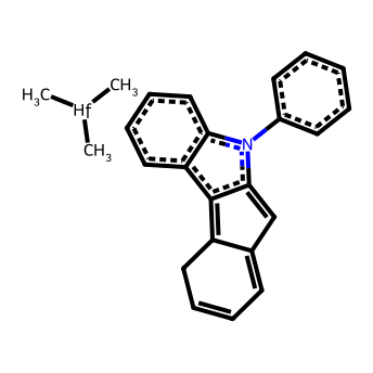 C1=CCC2=c3c(n(-c4ccccc4)c4ccccc34)=CC2=C1.[CH3][Hf]([CH3])[CH3]